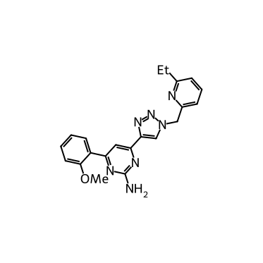 CCc1cccc(Cn2cc(-c3cc(-c4ccccc4OC)nc(N)n3)nn2)n1